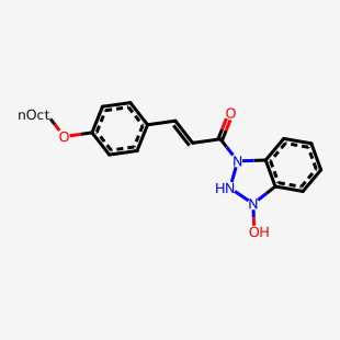 CCCCCCCCOc1ccc(C=CC(=O)N2NN(O)c3ccccc32)cc1